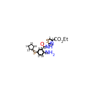 CCOC(=O)c1csc(NC(=O)c2cc(SC3CCCC3)ccc2N)n1